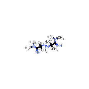 CN(C)C(=N)C(C)(C)N=NC(C)(C)C(=N)N(C)C